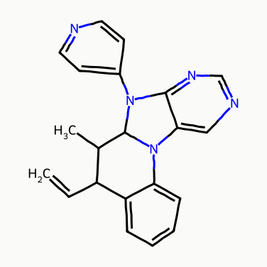 C=CC1c2ccccc2N2c3cncnc3N(c3ccncc3)C2C1C